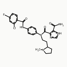 CN1CCCC1CCN(C(=O)c1nc[nH]c1C(N)=O)c1ccc(NC(=O)c2ccc(F)cc2Cl)cc1